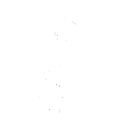 O=C(C1CCN(c2ccc(C(F)(F)F)cn2)CC1)N1CCN(C2CCC2)CC1